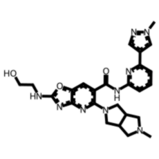 CN1CC2CN(c3nc4nc(NCCO)oc4cc3C(=O)Nc3cccc(-c4cnn(C)c4)n3)CC2C1